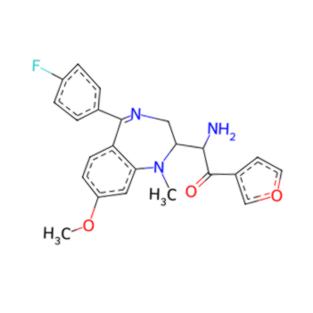 COc1ccc2c(c1)N(C)C(C(N)C(=O)c1ccoc1)CN=C2c1ccc(F)cc1